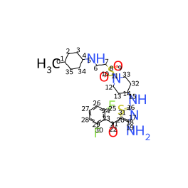 CC1CCC(NCCS(=O)(=O)N2CCC(Nc3nc(N)c(C(=O)c4c(F)cccc4F)s3)CC2)CC1